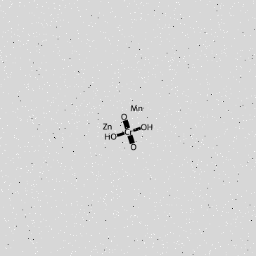 [Mn].[O]=[Cr](=[O])([OH])[OH].[Zn]